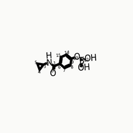 O=C(NC1CC1)c1ccc(OB(O)O)cc1